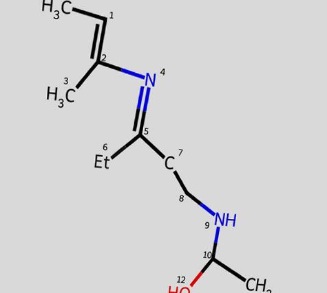 C/C=C(C)/N=C(\CC)CCNC(C)O